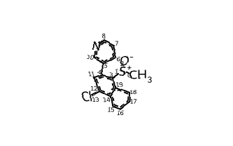 C[S+]([O-])c1c(-c2cccnc2)cc(Cl)c2ccccc12